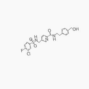 O=C(NCCc1ccc(CO)cc1)c1ccc(CNS(=O)(=O)c2ccc(F)c(Cl)c2)cn1